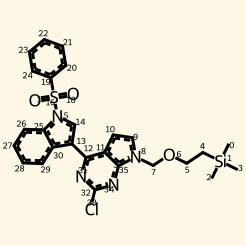 C[Si](C)(C)CCOCn1ccc2c(-c3cn(S(=O)(=O)c4ccccc4)c4ccccc34)nc(Cl)nc21